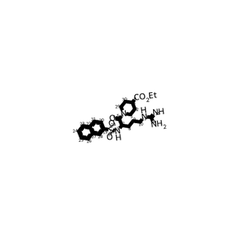 CCOC(=O)C1CCN(C(=O)C(CCCNC(=N)N)NS(=O)(=O)c2ccc3ccccc3c2)CC1